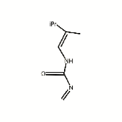 C=NC(=O)N/C=C(\C)C(C)C